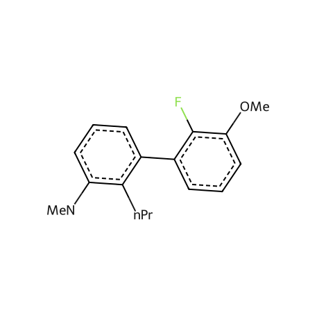 CCCc1c(NC)cccc1-c1cccc(OC)c1F